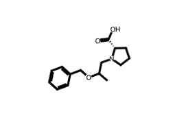 CC(CN1CCC[C@H]1C(=O)O)OCc1ccccc1